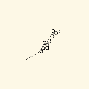 CCCCCCCCCCOc1ccc(C(=O)Oc2ccc(-c3ccc(C(=O)OCC(C)CC)cc3)cc2)c(Cl)c1